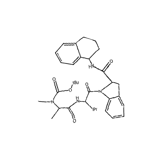 CC(C)C(NC(=O)C(C)N(C)C(=O)OC(C)(C)C)C(=O)N1c2ccccc2CC1C(=O)NC1CCCc2ccccc21